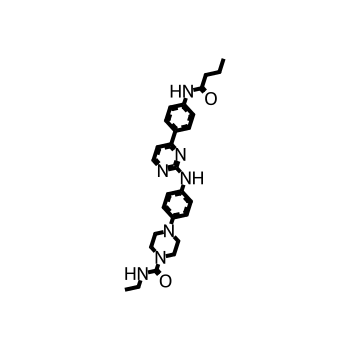 CCCC(=O)Nc1ccc(-c2ccnc(Nc3ccc(N4CCN(C(=O)NCC)CC4)cc3)n2)cc1